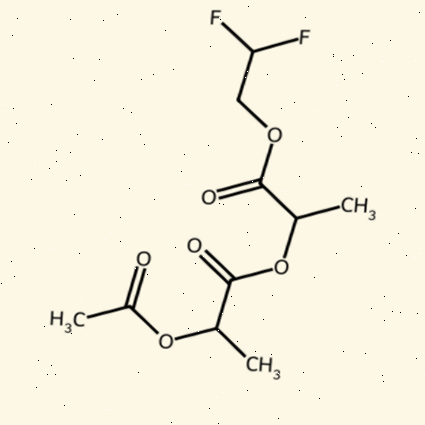 CC(=O)OC(C)C(=O)OC(C)C(=O)OCC(F)F